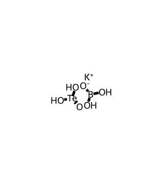 O=[Te](O)O.[K+].[O-]B(O)O